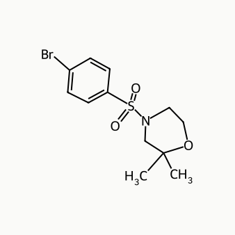 CC1(C)CN(S(=O)(=O)c2ccc(Br)cc2)CCO1